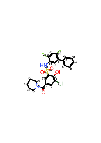 O=C(c1cc(Cl)c(O)c(S(=O)(=O)Nc2cc(-c3ccccc3)c(F)cc2F)c1)N1CCCCC1